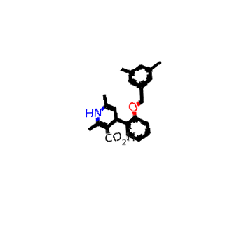 CC1=CC(c2ccccc2OCc2cc(C)cc(C)c2)C(C(=O)O)=C(C)N1